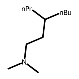 CCCCC(CCC)CCN(C)C